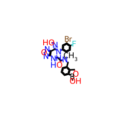 CN(Cc1cccc2c1COB2O)C(=O)CNc1nonc1/C(=N\O)Nc1ccc(F)c(Br)c1